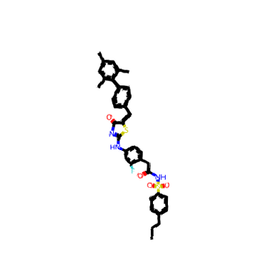 CCCc1ccc(S(=O)(=O)NC(=O)Cc2ccc(NC3=NC(=O)/C(=C\c4ccc(-c5c(C)cc(C)cc5C)cc4)S3)cc2F)cc1